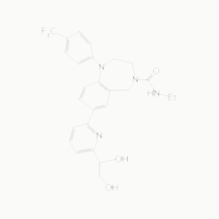 CCNC(=O)N1CCN(c2ccc(C(F)(F)F)cc2)c2ccc(-c3cccc(C(O)CO)n3)cc2C1